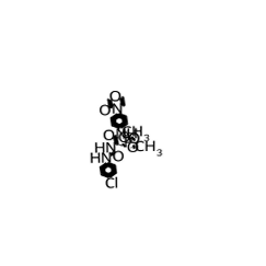 COP(=O)(C[C@H](NC(=O)Nc1ccc(Cl)cc1)C(=O)Nc1ccc(N2CCOCC2=O)cc1)OC